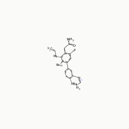 C=CNc1c(CC(N)=O)c(F)cc(-c2ccc(CCCC)c(/N=C\C)c2)c1[C@H](C)CC